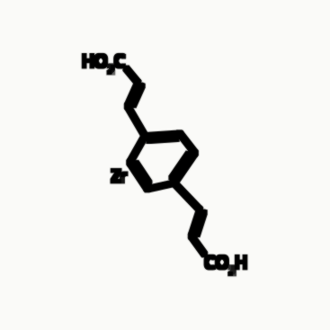 O=C(O)C=Cc1ccc(C=CC(=O)O)cc1.[Zr]